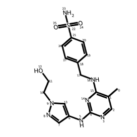 Cc1cnc(Nc2cnn(CCO)c2)nc1NCc1ccc(S(N)(=O)=O)cc1